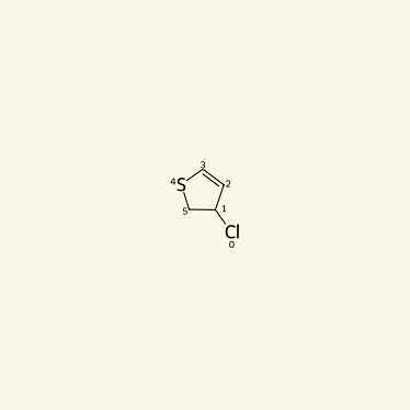 ClC1C=CSC1